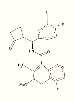 CNN1Cc2c(F)cccc2C(C(=O)N[C@H](c2ccc(F)c(F)c2)C2CCC2=O)=C1C